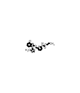 CCCOC(=O)Nc1cccc(COc2nc3c(Cl)cccc3n2-c2nnnn2C)n1